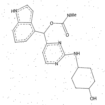 CNC(=O)OC(c1ccnc(NC2CCC(O)CC2)n1)c1cccc2[nH]ccc12